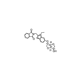 CCn1c(CN2C(=O)c3ccccc3C2=O)nc2ccc(O[C@@H]3CO[C@H]4[C@@H]3OC[C@H]4O)cc21